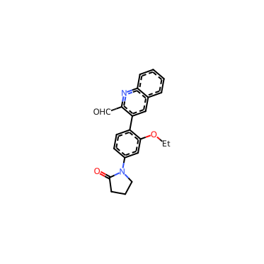 CCOc1cc(N2CCCC2=O)ccc1-c1cc2ccccc2nc1C=O